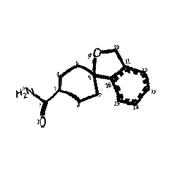 NC(=O)C1CCC2(CC1)OCc1ccccc12